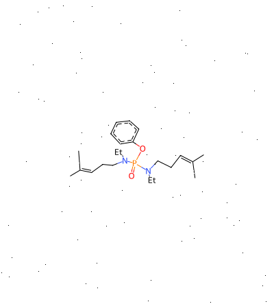 CCN(CCC=C(C)C)P(=O)(Oc1ccccc1)N(CC)CCC=C(C)C